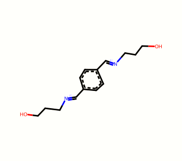 OCCC/N=C/c1ccc(/C=N/CCCO)cc1